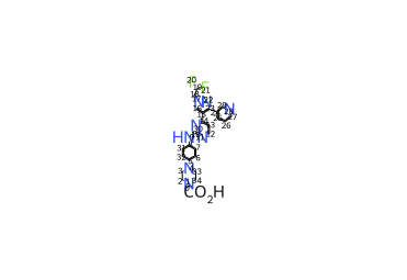 O=C(O)N1CCN(c2ccc(Nc3nccc(-c4cn(CC(F)F)nc4-c4cccnc4)n3)cc2)CC1